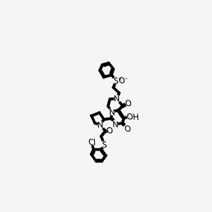 O=C1c2c(O)c(=O)nc(C3CCCN3C(=O)CSc3ccccc3Cl)n2CCN1CC[S+]([O-])c1ccccc1